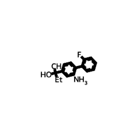 CCC(C)(O)c1ccc(-c2ccccc2F)cc1.N